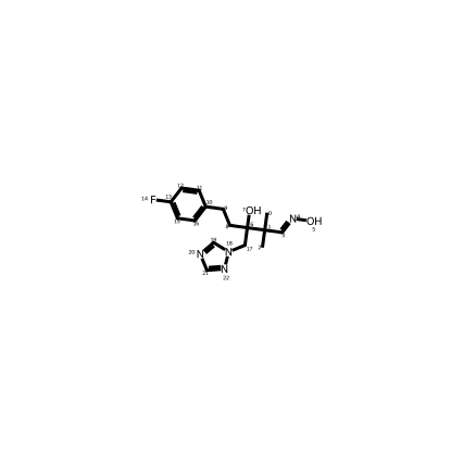 CC(C)(/C=N/O)C(O)(CCc1ccc(F)cc1)Cn1cncn1